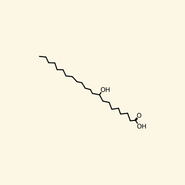 CCCCCCCCCCCCCC(O)CCCCCCCC(=O)O